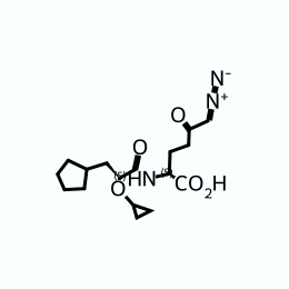 [N-]=[N+]=CC(=O)CC[C@H](NC(=O)[C@H](CC1CCCC1)OC1CC1)C(=O)O